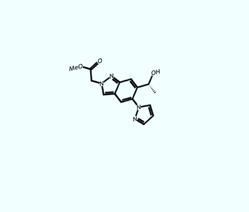 COC(=O)Cn1cc2cc(-n3cccn3)c([C@@H](C)O)cc2n1